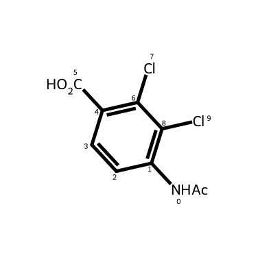 CC(=O)Nc1ccc(C(=O)O)c(Cl)c1Cl